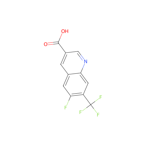 O=C(O)c1cnc2cc(C(F)(F)F)c(F)cc2c1